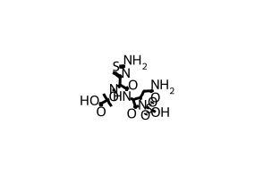 CC(C)(O/N=C(\C(=O)NC1C(=O)N(S(=O)(=O)O)C1CC(N)=O)c1csc(N)n1)C(=O)O